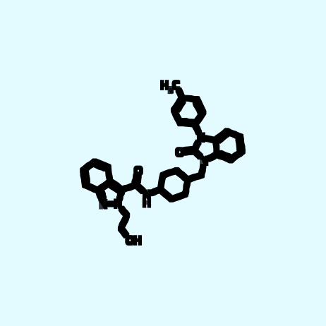 Cc1ccc(-n2c(=O)n(CC3CCC(NC(=O)c4c5ccccc5nn4CCO)CC3)c3ccccc32)cc1